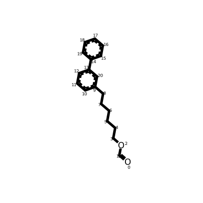 O=[C]OCCCCCCc1cccc(-c2ccccc2)c1